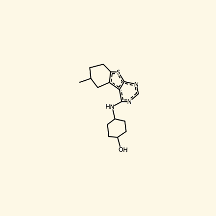 CC1CCc2sc3ncnc(NC4CCC(O)CC4)c3c2C1